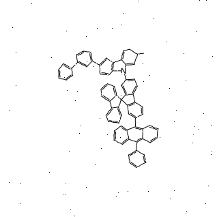 CC1C=c2c(c3cc(-c4cccc(-c5ccccc5)c4)ccc3n2-c2ccc3c(c2)C2(c4ccccc4-c4ccccc42)c2cc(-c4c5ccccc5c(-c5ccccc5)c5ccccc45)ccc2-3)=CC1